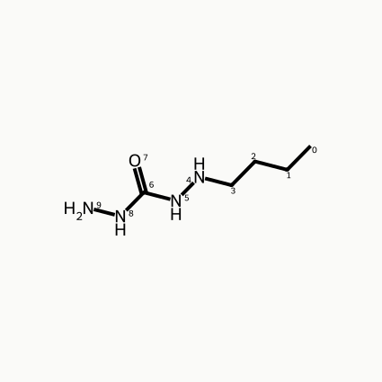 CCCCNNC(=O)NN